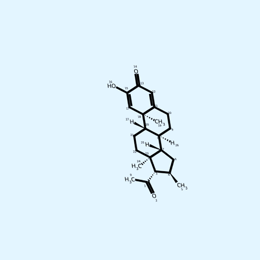 CC(=O)[C@H]1[C@H](C)C[C@H]2[C@@H]3CCC4=CC(=O)C(O)=C[C@]4(C)[C@H]3CC[C@@]21C